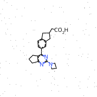 O=C(O)CC1Cc2ccc(-c3nc(N4CCC4)nc4c3CCC4)cc2C1